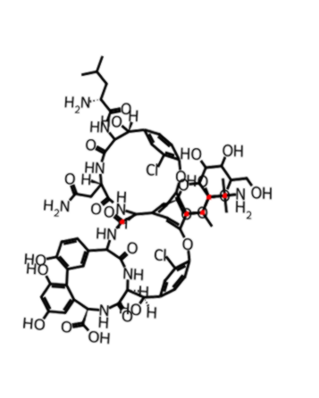 CC(C)C[C@@H](N)C(=O)NC1C(=O)N[C@@H](CC(N)=O)C(=O)N[C@H]2C(=O)NC3C(=O)N[C@H](C(=O)N[C@@H](C(=O)O)c4cc(O)cc(O)c4-c4cc3ccc4O)[C@H](O)c3ccc(c(Cl)c3)Oc3cc2cc(c3OC2OC(CO)C(O)C(O)C2O[C@H](C)OC(C)C(O)C(C)(C)N)Oc2ccc(cc2Cl)[C@H]1O